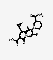 Cc1c(N2CCCC(C(N)=O)C2)c(F)cn2c(=O)c(C(=O)O)cc(C3CC3)c12